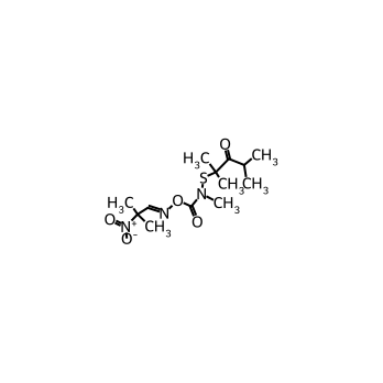 CC(C)C(=O)C(C)(C)SN(C)C(=O)O/N=C/C(C)(C)[N+](=O)[O-]